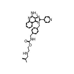 C=C(C)CNCCOC(=O)NCc1ccc(Cn2c(-c3ccncc3)nc3c(N)nc4ccccc4c32)cc1